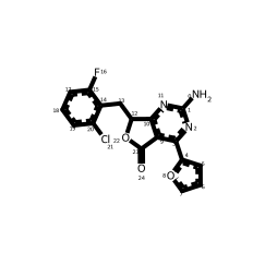 Nc1nc(-c2ccco2)c2c(n1)C(Cc1c(F)cccc1Cl)OC2=O